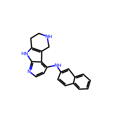 c1ccc2cc(Nc3ccnc4[nH]c5c(c34)CNCC5)ccc2c1